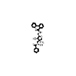 C[C@@]1(CN(O)C(=O)c2ccccc2)CO[C@H](CNC(=O)c2ccccc2-c2ccccc2)[C@H]1O